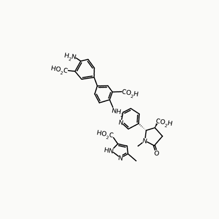 CN1C(=O)C[C@H](C(=O)O)[C@H]1c1cccnc1.Cc1cc(C(=O)O)[nH]n1.Nc1ccc(-c2ccc(N)c(C(=O)O)c2)cc1C(=O)O